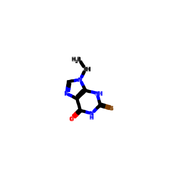 BBn1cnc2c(=O)[nH]c(=S)[nH]c21